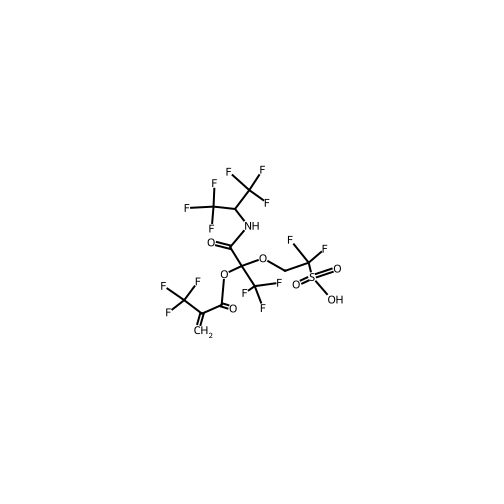 C=C(C(=O)OC(OCC(F)(F)S(=O)(=O)O)(C(=O)NC(C(F)(F)F)C(F)(F)F)C(F)(F)F)C(F)(F)F